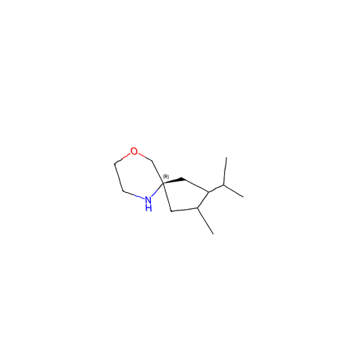 CC(C)C1C[C@@]2(COCCN2)CC1C